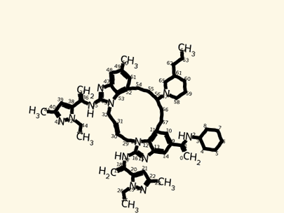 C=C(NC1CCCCC1)c1cc2c3c(c1)nc(NC(=C)c1cc(C)nn1CC)n3C/C=C/Cn1c(NC(=C)c3cc(C)nn3CC)nc3cc(C)cc(c31)CCC(N1CCCC(CCC)C1)CC2